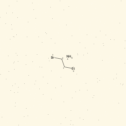 CCC[CH]Br.N